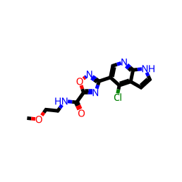 COCCNC(=O)c1nc(-c2cnc3[nH]ccc3c2Cl)no1